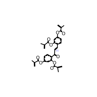 C=C(C)C(=O)Oc1ccc(/C=C/C(=O)c2ccc(OC(=O)C(=C)C)cc2OC(=O)C(=C)C)c(OC(=O)C(=C)C)c1